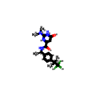 C[C@@H](NC(=O)c1cc(=O)[nH]c(N(C)C)n1)c1ccc(C(C)(C)C(F)(F)F)cc1